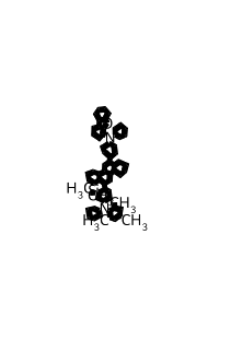 Cc1cc(C)c(N(c2ccccc2)c2ccc3c(c2)[Si](C)(C)c2cccc4c2c-3cc2c3ccccc3c(-c3ccc(N(c5ccccc5)c5cccc6c5oc5ccccc56)cc3)cc42)c(C)c1